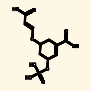 O=C(O)C=COC1CC(C(=O)O)=CC(OP(=O)(O)O)C1